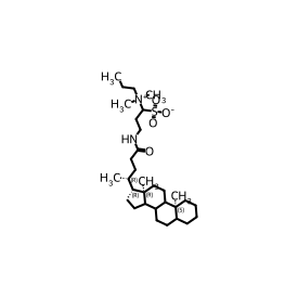 CCC[N+](C)(C)C(CCNC(=O)CC[C@@H](C)[C@H]1CCC2C3CCC4CCCC[C@]4(C)C3CC[C@@]21C)S(=O)(=O)[O-]